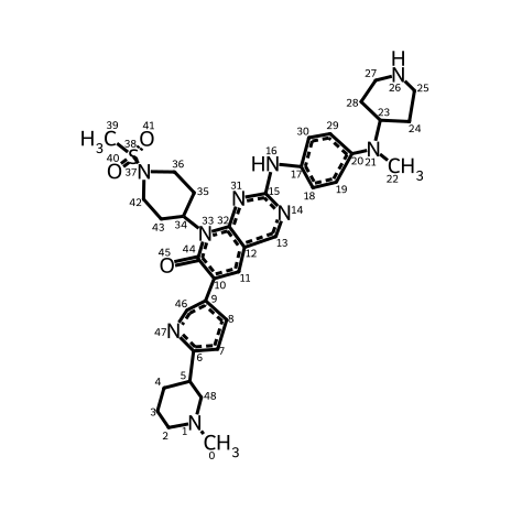 CN1CCCC(c2ccc(-c3cc4cnc(Nc5ccc(N(C)C6CCNCC6)cc5)nc4n(C4CCN(S(C)(=O)=O)CC4)c3=O)cn2)C1